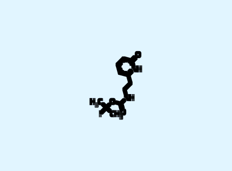 CC(C)(I)OC(=O)NCCc1cccc(=O)[nH]1